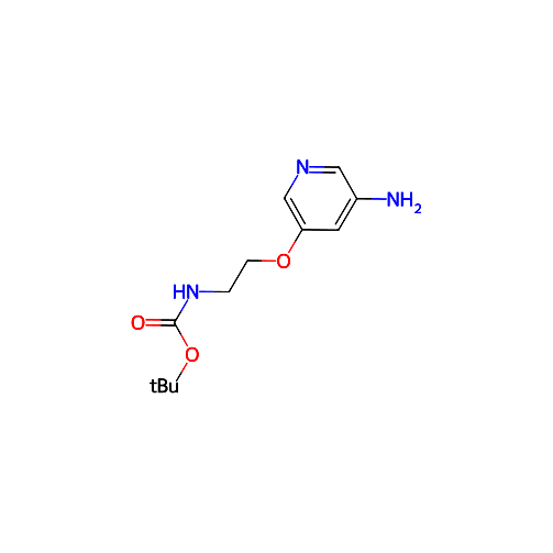 CC(C)(C)OC(=O)NCCOc1cncc(N)c1